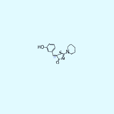 O=C1N=C(N2CCCCC2)S/C1=C\c1cccc(O)c1